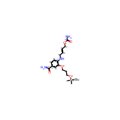 CC(C)(C)[Si](C)(C)OCCCOc1cc(C(N)=O)ccc1NCC=CCOC(N)=O